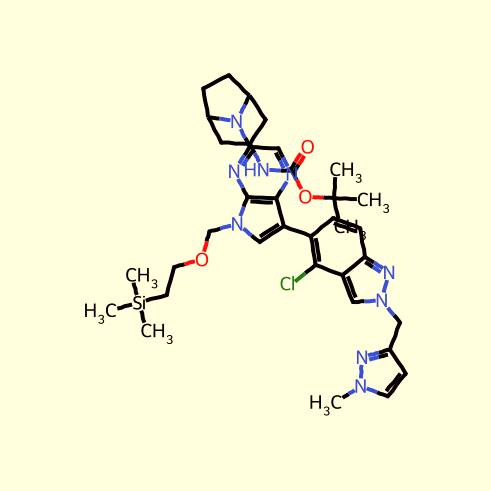 Cn1ccc(Cn2cc3c(Cl)c(-c4cn(COCC[Si](C)(C)C)c5nc(N6C7CCC6CC(NC(=O)OC(C)(C)C)C7)cnc45)ccc3n2)n1